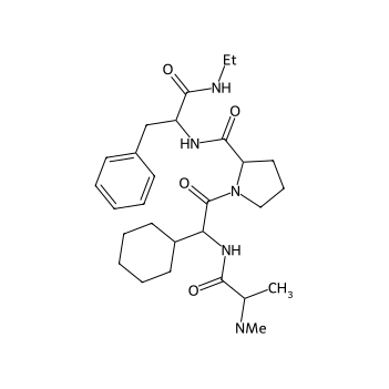 CCNC(=O)C(Cc1ccccc1)NC(=O)C1CCCN1C(=O)C(NC(=O)C(C)NC)C1CCCCC1